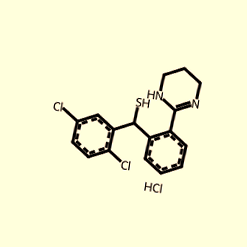 Cl.SC(c1cc(Cl)ccc1Cl)c1ccccc1C1=NCCCN1